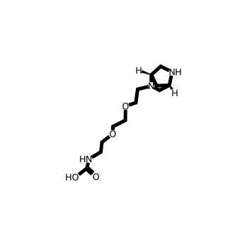 O=C(O)NCCOCCOCCN1C[C@@H]2C[C@H]1CN2